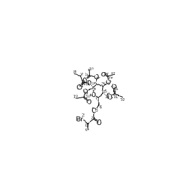 C=C(Br)C(=O)OC[C@H]1O[C@](OC(C)=O)(OC(=O)CC)[C@@H](OC(C)=O)[C@@H](OC(C)=O)[C@@H]1OC(C)=O